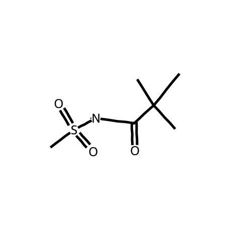 CC(C)(C)C(=O)[N]S(C)(=O)=O